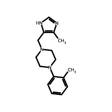 Cc1ccccc1N1CCN(Cc2[nH]cnc2C)CC1